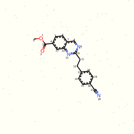 COC(=O)c1ccc2cnc(CCc3ccc(C#N)cc3)nc2c1